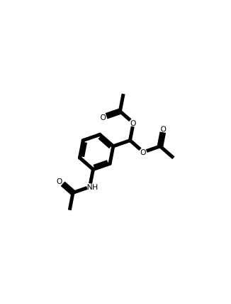 CC(=O)Nc1cccc(C(OC(C)=O)OC(C)=O)c1